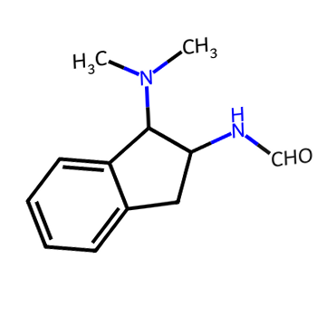 CN(C)C1c2ccccc2CC1NC=O